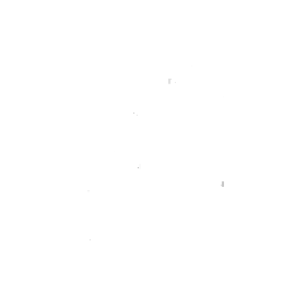 CC(C)(C)C(NC(=O)C(F)(F)F)C(=O)N1C[C@H]2[C@@H]([C@H]1C(=O)NC(C[C@@H]1CCNC1=O)C(O)C(=O)N1CCCC1)C2(C)C